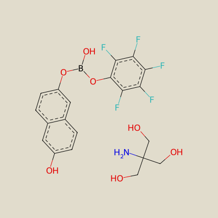 NC(CO)(CO)CO.OB(Oc1ccc2cc(O)ccc2c1)Oc1c(F)c(F)c(F)c(F)c1F